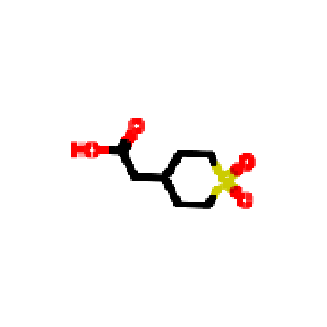 O=C(O)CC1CCS(=O)(=O)CC1